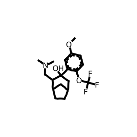 COc1ccc(OC(F)(F)F)c(C2(O)CC3CCC(C3)C2CN(C)C)c1